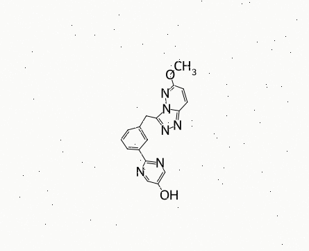 COc1ccc2nnc(Cc3cccc(-c4ncc(O)cn4)c3)n2n1